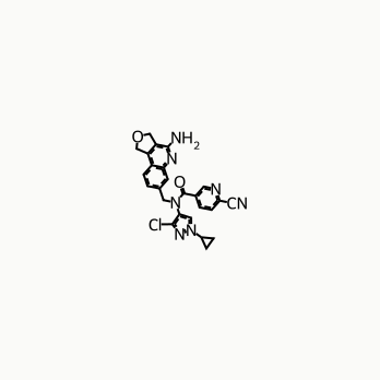 N#Cc1ccc(C(=O)N(Cc2ccc3c4c(c(N)nc3c2)COC4)c2cn(C3CC3)nc2Cl)cn1